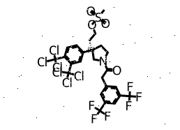 CS(=O)(=O)OCC[C@]1(c2ccc(C(Cl)(Cl)Cl)c(C(Cl)(Cl)Cl)c2)CCN(C(=O)Cc2cc(C(F)(F)F)cc(C(F)(F)F)c2)C1